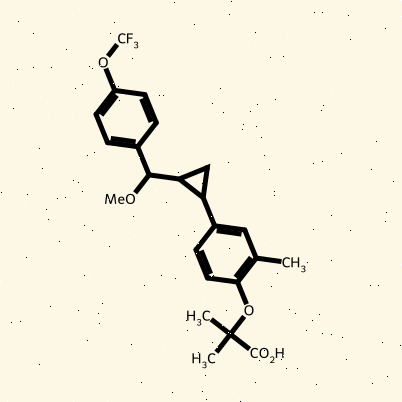 COC(c1ccc(OC(F)(F)F)cc1)C1CC1c1ccc(OC(C)(C)C(=O)O)c(C)c1